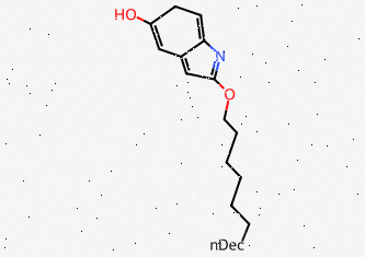 CCCCCCCCCCCCCCCCOC1=NC2=CCC(O)=CC2=C1